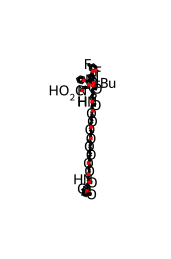 CC(C)(C)[C@H](c1nc(-c2cc(F)ccc2F)cn1Cc1ccccc1)N(CCCNC(=O)O)C(=O)CSCCNC(=O)CCOCCOCCOCCOCCOCCOCCOCCOCCNC(=O)CCN1C(=O)C=CC1=O